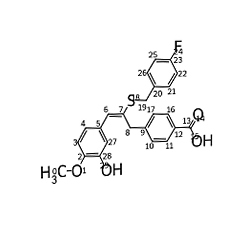 COc1ccc(/C=C(\Cc2ccc(C(=O)O)cc2)SCc2ccc(F)cc2)cc1O